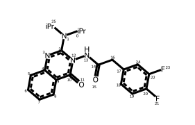 CC(C)N(c1nc2ccccc2c(=O)n1NC(=O)Cc1ccc(F)c(F)c1)C(C)C